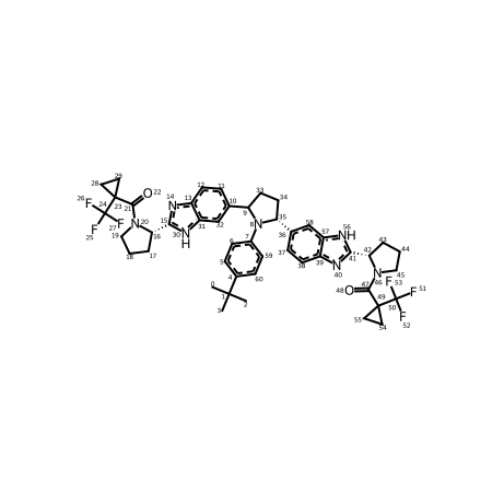 CC(C)(C)c1ccc(N2C(c3ccc4nc([C@@H]5CCCN5C(=O)C5(C(F)(F)F)CC5)[nH]c4c3)CC[C@@H]2c2ccc3nc([C@@H]4CCCN4C(=O)C4(C(F)(F)F)CC4)[nH]c3c2)cc1